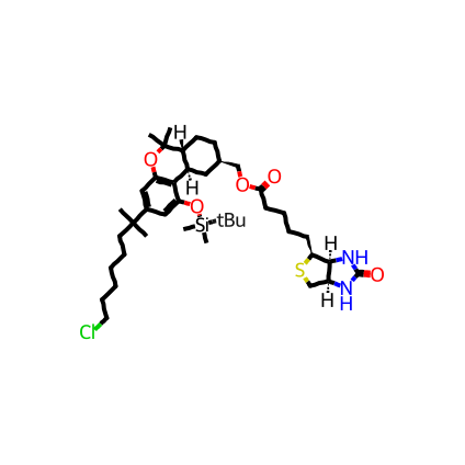 CC(C)(CCCCCCCl)c1cc2c(c(O[Si](C)(C)C(C)(C)C)c1)[C@@H]1C[C@H](COC(=O)CCCC[C@@H]3SC[C@@H]4NC(=O)N[C@@H]43)CC[C@H]1C(C)(C)O2